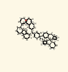 CC1(c2ccc3c(c2)C2(c4ccc#cc4C4C=CC=CC42)c2ccccc2C3)C=CC(N(c2ccc3ccccc3c2)c2cccc3c4c(oc23)C(C2=CCCC=C2)CC=C4)=CC1